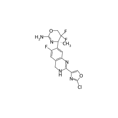 C[C@]1(c2cc3c(cc2F)CNC(c2coc(Cl)n2)=N3)N=C(N)OCC1(F)F